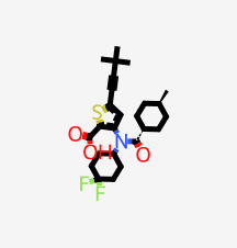 CC(C)(C)C#Cc1cc(N(C(=O)[C@H]2CC[C@H](C)CC2)C2CCC(F)(F)CC2)c(C(=O)O)s1